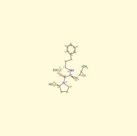 CC1CO1.CCOC(=O)[C@H](CCc1ccccc1)N[C@@H](C)C(=O)N1CCC[C@H]1C(=O)O